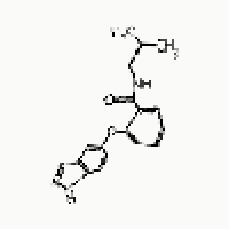 CC(C)CNC(=O)c1ccccc1Oc1ccc2[nH]ncc2c1